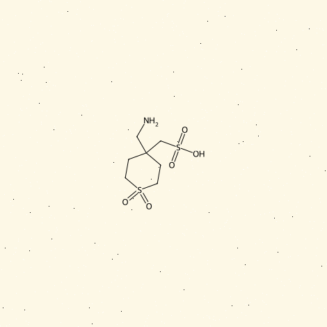 NCC1(CS(=O)(=O)O)CCS(=O)(=O)CC1